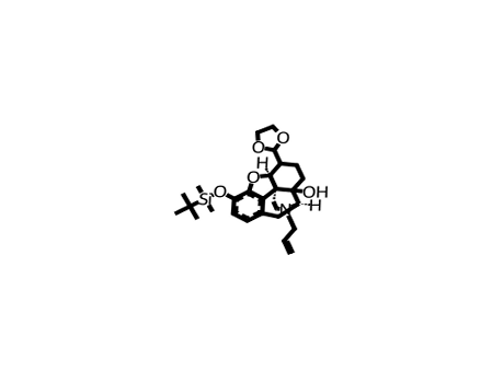 C=CCN1CC[C@]23c4c5ccc(O[Si](C)(C)C(C)(C)C)c4O[C@H]2C(C2OCCO2)CCC3(O)[C@H]1C5